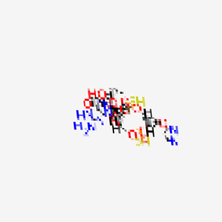 CC(C)[Si](O)(O[Si](O[C@H]1[C@H]2OP(=O)(S)OC[C@H]3C[C@@H](Oc4ccncn4)C[C@@H]3OP(=O)(S)OC[C@H]1O[C@H]2n1nnc2c(=O)[nH]c(N)nc21)(C(C)C)C(C)C)C(C)C